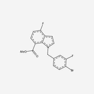 COC(=O)c1ccc(F)c2ccn(Cc3ccc(Br)c(F)c3)c12